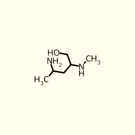 CNC(CO)CC(C)N